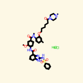 COc1cc(C(=O)N(C)c2ccc(C)cc2OCCCCCC(=O)N2CCN(C)CC2)ccc1NC(=O)c1cccc2[nH]c(NS(=O)(=O)c3ccccc3)nc12.Cl.Cl